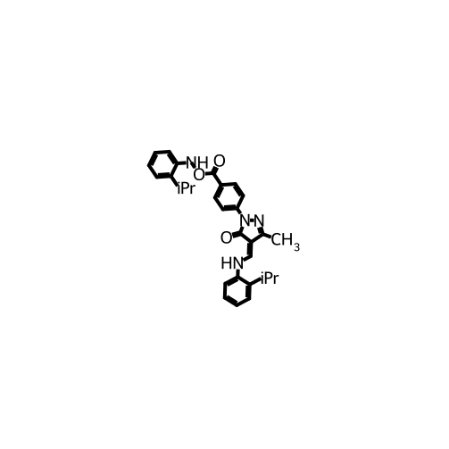 CC1=NN(c2ccc(C(=O)ONc3ccccc3C(C)C)cc2)C(=O)C1=CNc1ccccc1C(C)C